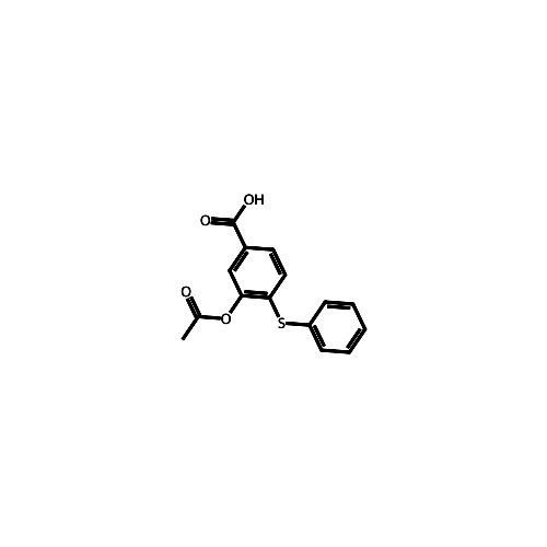 CC(=O)Oc1cc(C(=O)O)ccc1Sc1ccccc1